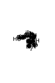 C/C(=C\C(=O)N[C@H]1CN(C(C)C)CC[C@H]2CC[C@@H](C(=O)N[C@@H](CCC(N)=O)C(=O)NC(c3ccccc3)c3ccccc3)N2C1=O)c1ccc(CP(=O)(O)O)cc1